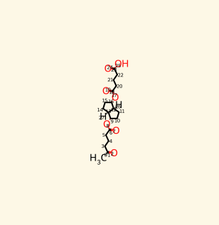 CC(=O)CCCC(=O)O[C@H]1CC[C@H]2[C@@H]1CC[C@@H]2OC(=O)CCCC(=O)O